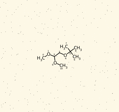 COC(COC(C)(C)C)OC